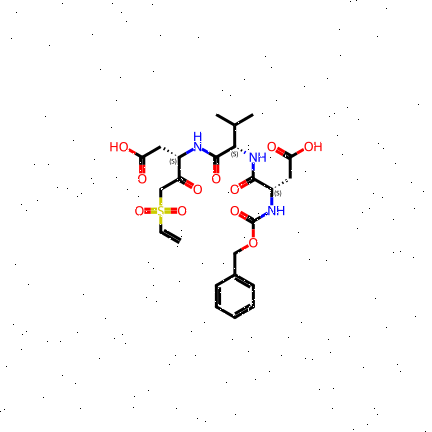 C=CS(=O)(=O)CC(=O)[C@H](CC(=O)O)NC(=O)[C@@H](NC(=O)[C@H](CC(=O)O)NC(=O)OCc1ccccc1)C(C)C